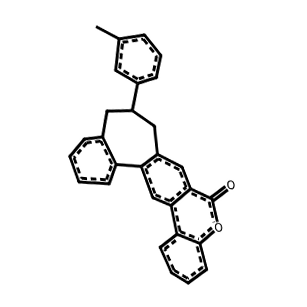 Cc1cccc(C2Cc3ccccc3-c3cc4c(cc3C2)c(=O)oc2ccccc24)c1